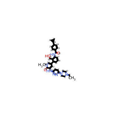 CCN1CCN(c2ccc(Nc3cc(-c4cccc(NC(=O)c5ccc(C6CC6)cc5)c4CO)cn(C)c3=O)nn2)CC1